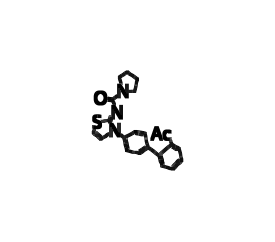 CC(=O)c1ccccc1-c1ccc(-n2ccsc2=NC(=O)N2CCCC2)cc1